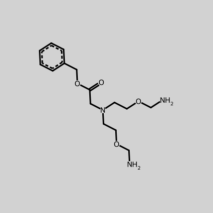 NCOCCN(CCOCN)CC(=O)OCc1ccccc1